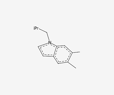 Cc1cc2ccn(CC(C)C)c2cc1C